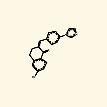 O=C1C(=Cc2ccc(-n3ccnc3)cc2)CCc2cc(Br)ccc21